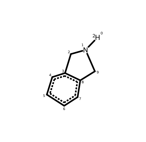 [2H]N1Cc2ccccc2C1